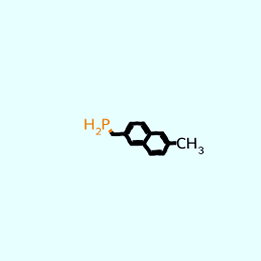 Cc1ccc2cc(CP)ccc2c1